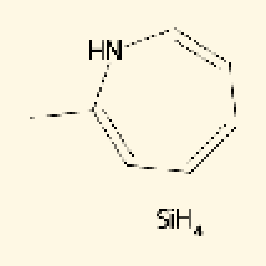 CC1=CC=CC=CN1.[SiH4]